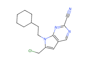 N#Cc1ncc2cc(CCl)n(CCC3CCCCC3)c2n1